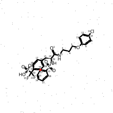 O=C(NCCCOc1ccc(Cl)cc1)[C@H](Cc1ccc(C(F)(F)P(=O)(O)O)cc1)NS(=O)(=O)c1ccccc1